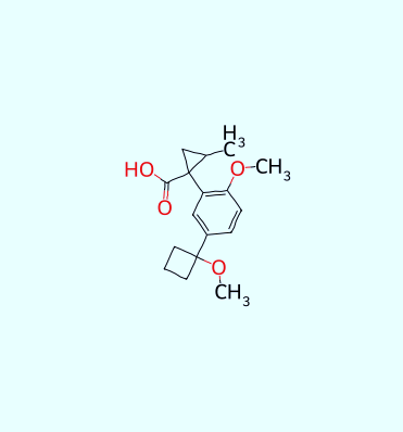 COc1ccc(C2(OC)CCC2)cc1C1(C(=O)O)CC1C